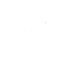 CCCCOC(=N)NC(=O)N(C)C